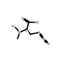 CC(=O)N(C)[C@H](CN=[N+]=[N-])C(=O)N=O